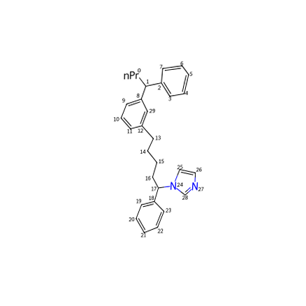 CCCC(c1ccccc1)c1cccc(CCCCC(c2ccccc2)n2ccnc2)c1